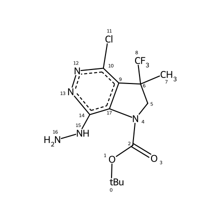 CC(C)(C)OC(=O)N1CC(C)(C(F)(F)F)c2c(Cl)nnc(NN)c21